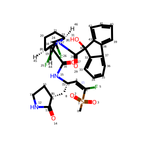 CS(=O)(=O)/C(F)=C\[C@H](C[C@H]1CCNC1=O)NC(=O)[C@@H]1[C@H]2CC[C@H](CC2(F)F)N1C(=O)C1(O)c2ccccc2-c2ccccc21